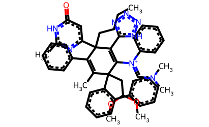 CCCCC1(c2cc(=O)[nH]c(C)n2)C(c2ccccc2)=C(C)C(CC(OC)OC)(c2ccccc2-c2ccccc2)C([N+](=CN(C)C)c2ccccc2)=C1c1nnn[nH]1